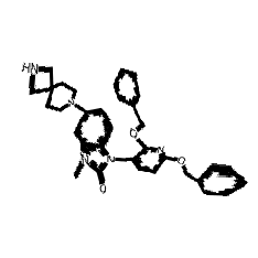 Cn1c(=O)n(-c2ccc(OCc3ccccc3)nc2OCc2ccccc2)c2ccc(N3CCC4(CC3)CNC4)cc21